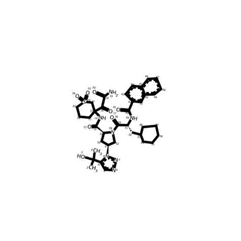 CC(C)(O)c1cnnn1[C@H]1C[C@@H](C(=O)NC2(C(=O)C(N)=O)CCCS(=O)(=O)C2)N(C(=O)[C@@H](CC2CCCCC2)NC(=O)c2ccc3ccccc3c2)C1